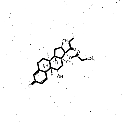 CCC(=O)O[C@@]1(C(=O)CF)[C@H](C)C[C@H]2[C@@H]3CCC4=CC(=O)C=C[C@]4(C)[C@H]3[C@@H](O)C[C@@]21C